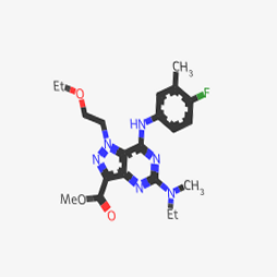 CCOCCn1nc(C(=O)OC)c2nc(N(C)CC)nc(Nc3ccc(F)c(C)c3)c21